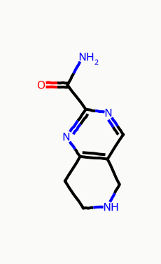 NC(=O)c1ncc2c(n1)CCNC2